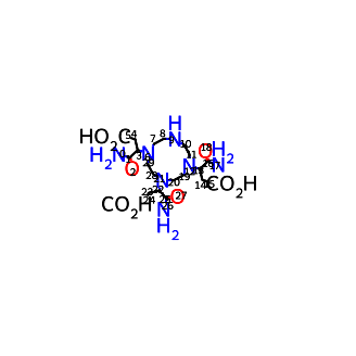 NC(=O)C(CC(=O)O)N1CCNCCN(C(CC(=O)O)C(N)=O)CCN(C(CC(=O)O)C(N)=O)CC1